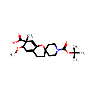 COC1C=C2CCC3(CCN(C(=O)OC(C)(C)C)CC3)OC2=CC1(C)C(=O)O